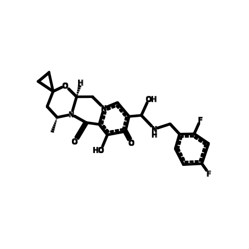 C[C@@H]1CC2(CC2)O[C@H]2Cn3cc(C(O)NCc4ccc(F)cc4F)c(=O)c(O)c3C(=O)N12